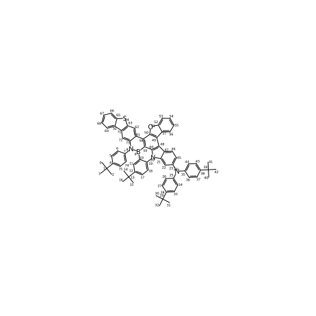 CC(C)(C)c1ccc(N2B3c4cc(C(C)(C)C)ccc4-n4c5cc(N(c6ccc(C(C)(C)C)cc6)c6ccc(C(C)(C)C)cc6)ccc5c5c6c(oc7ccccc76)c(c3c54)-c3cc4sc5ccccc5c4cc32)cc1